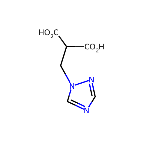 O=C(O)C(Cn1cncn1)C(=O)O